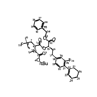 CN(C(=O)OC(C)(C)C)[C@@H](CC(C)(C)F)C(=O)O[C@H](CCc1ccc(C2=CCCCC2)c(F)c1)C(=O)OCc1ccccc1